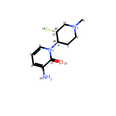 CN1CC[C@@H](n2cccc(N)c2=O)[C@H](F)C1